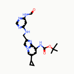 CC(C)(C)OC(=O)Nc1cc(C2CC2)cn2cc(CNc3cc(NC=O)ncn3)nc12